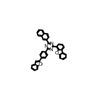 c1ccc2cc(-c3nc(-c4ccc(-c5cc6ccccc6o5)cc4)nc(-c4cccc5c4oc4ccccc45)n3)ccc2c1